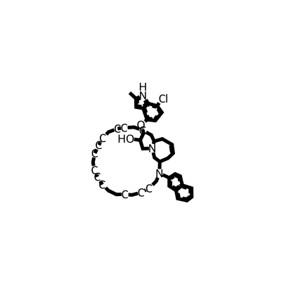 Cc1cc2c(OCC(O)CN3CC4CC=CCC3CCCCCCCCCCCCCCCCCCCCN4c3ccc4ccccc4c3)ccc(Cl)c2[nH]1